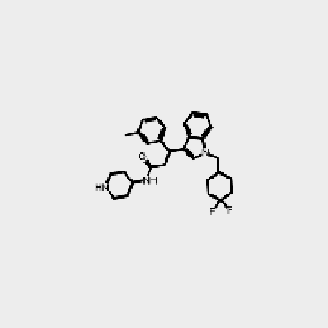 Cc1cccc(C(CC(=O)NC2CCNCC2)c2cn(CC3CCC(F)(F)CC3)c3ccccc23)c1